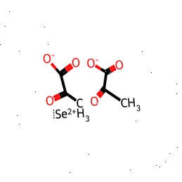 CC(=O)C(=O)[O-].CC(=O)C(=O)[O-].[Se+2]